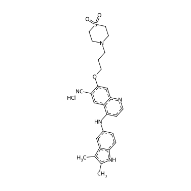 Cc1[nH]c2ccc(Nc3ccnc4cc(OCCCN5CCS(=O)(=O)CC5)c(C#N)cc34)cc2c1C.Cl